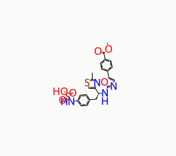 COC(=O)c1ccc(-c2cnc(N[C@@H](Cc3ccc(NS(=O)(=O)O)cc3)c3csc(C)n3)o2)cc1